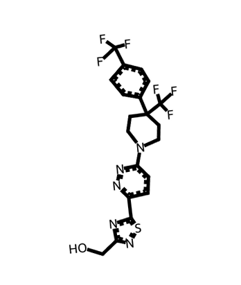 OCc1nsc(-c2ccc(N3CCC(c4ccc(C(F)(F)F)cc4)(C(F)(F)F)CC3)nn2)n1